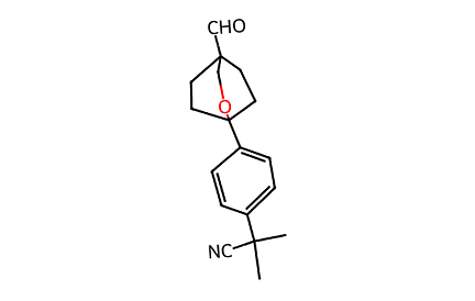 CC(C)(C#N)c1ccc(C23CCC(C=O)(CC2)CO3)cc1